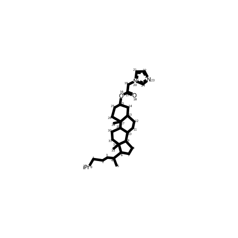 CC(C)CCCC(C)C1CCC2C3CCC4CC(OC(=O)Cn5ccnc5)CCC4(C)C3CCC12C